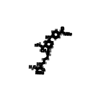 CCCN(C)c1nc(Nc2ccc(C(=O)NC)cc2)ncc1C#CCCCNC(=O)[C@H](C)NC